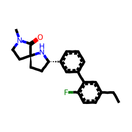 CCc1ccc(F)c(-c2cccc([C@@H]3CC[C@]4(CCN(C)C4=O)N3)c2)c1